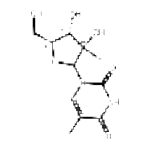 Cc1cn(C2O[C@@H](CO)[C@H](O)[C@]2(O)F)c(=O)[nH]c1=O